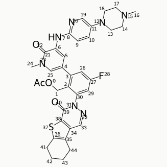 CC(=O)OCc1c(-c2cc(Nc3ccc(N4CCN(C)CC4)cn3)c(=O)n(C)c2)cc(F)cc1-n1ncc2c3c(sc2c1=O)CCCC3